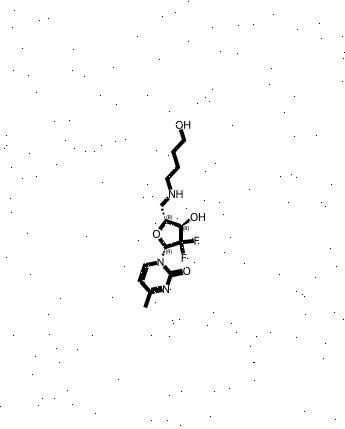 Cc1ccn([C@@H]2O[C@H](CNCCCCO)[C@@H](O)C2(F)F)c(=O)n1